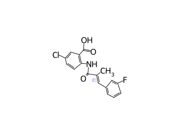 C/C(=C\c1cccc(F)c1)C(=O)Nc1ccc(Cl)cc1C(=O)O